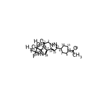 C=C1Cn2nc(C3CCN(C(C)=O)CC3)cc2-c2cnc(C(C)(O)C(F)(F)F)n21